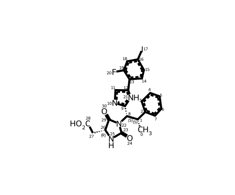 C[C@@H](c1ccccc1)[C@@H](c1ncc(-c2ccc(I)cc2F)[nH]1)N1C(=O)N[C@H](CC(=O)O)C1=O